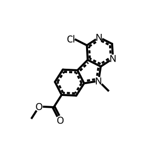 COC(=O)c1ccc2c3c(Cl)ncnc3n(C)c2c1